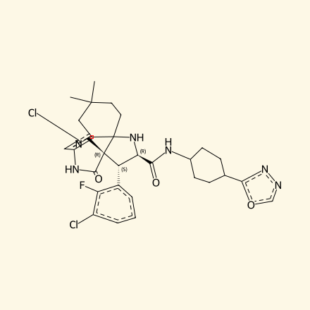 CC1(C)CCC2(CC1)N[C@@H](C(=O)NC1CCC(c3nnco3)CC1)[C@H](c1cccc(Cl)c1F)[C@]21C(=O)Nc2cc(Cl)ncc21